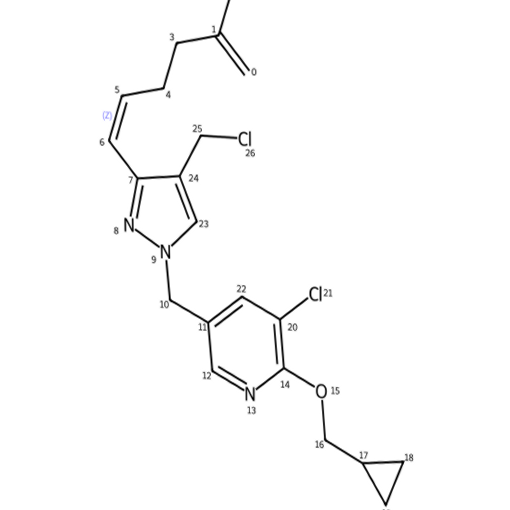 C=C(C)CC/C=C\c1nn(Cc2cnc(OCC3CC3)c(Cl)c2)cc1CCl